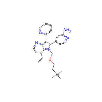 C=Cc1ccnc2c(-c3ccccn3)c(-c3ccnc(N)c3)n(COCC[Si](C)(C)C)c12